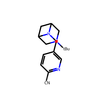 CC(C)(C)N1CC2CC(C1)N2Cc1ccc(C#N)nc1